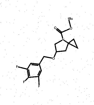 CC(C)(C)OC(=O)N1CC(OCc2cc(F)c(F)c(F)c2)CC12CC2